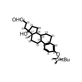 CC(C)(C)[Si](C)(C)Oc1ccc2c(c1)CCC1C2CC[C@@]2(C)C1CC[C@@]2(O)CCC=O